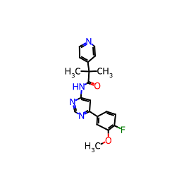 COc1cc(-c2cc(NC(=O)C(C)(C)c3ccncc3)ncn2)ccc1F